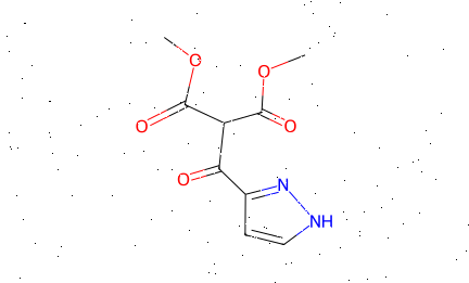 COC(=O)C(C(=O)OC)C(=O)c1cc[nH]n1